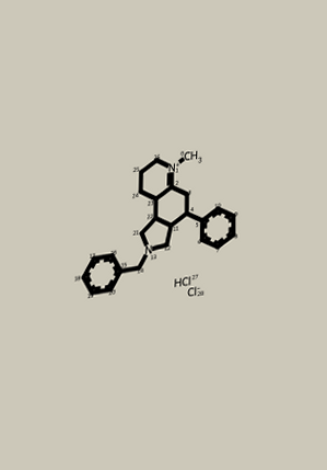 C[N+]1=C2CC(c3ccccc3)C3CN(Cc4ccccc4)CC3C2CCC1.Cl.[Cl-]